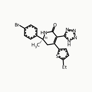 CCc1ccc(C2=C(c3nnn[nH]3)C(=O)N[C@](C)(c3ccc(Br)cc3)C2)s1